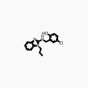 CCCn1c(NCc2cc(Cl)ccc2O)nc2ccccc21